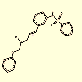 O=S(=O)(Nc1cccc(/C=C/C[C@H](O)COc2[c]cccc2)c1)c1ccccc1